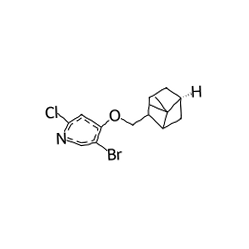 CC1(C)C2C[C@@H]1CCC2COc1cc(Cl)ncc1Br